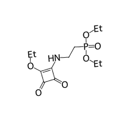 CCOc1c(NCCP(=O)(OCC)OCC)c(=O)c1=O